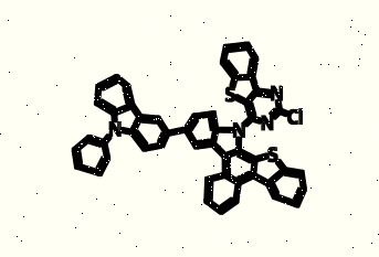 Clc1nc(-n2c3ccc(-c4ccc5c(c4)c4ccccc4n5-c4ccccc4)cc3c3c4ccccc4c4c5ccccc5sc4c32)c2sc3ccccc3c2n1